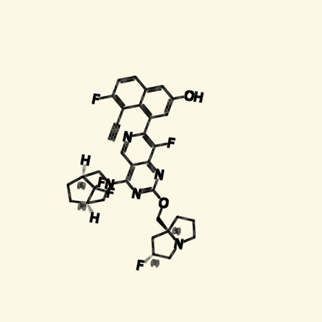 C#Cc1c(F)ccc2cc(O)cc(-c3ncc4c(N5C[C@H]6CC[C@@H](C5)C6(F)F)nc(OC[C@@]56CCCN5C[C@H](F)C6)nc4c3F)c12